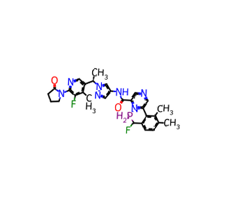 Cc1ccc(C(F)P)c(-c2cncc(C(=O)Nc3cnn([C@H](C)c4cnc(N5CCCC5=O)c(F)c4C)c3)n2)c1C